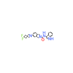 O=C(Nc1c[nH]c2ccccc12)N1Cc2ccc(N3CC4(C3)CC(F)(F)C4)cc2C1